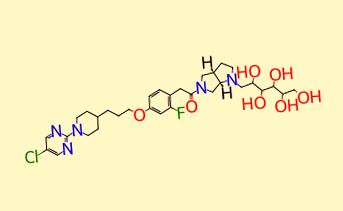 O=C(Cc1ccc(OCCCC2CCN(c3ncc(Cl)cn3)CC2)cc1F)N1C[C@@H]2CCN(CC(O)C(O)C(O)C(O)CO)[C@@H]2C1